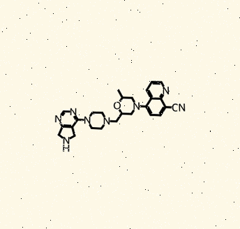 CC1CN(c2ccc(C#N)c3ncccc23)CC(CN2CCN(c3ncnc4c3CNC4)CC2)O1